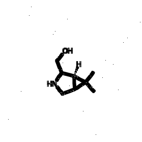 CC1(C)C2CNC(CO)[C@H]21